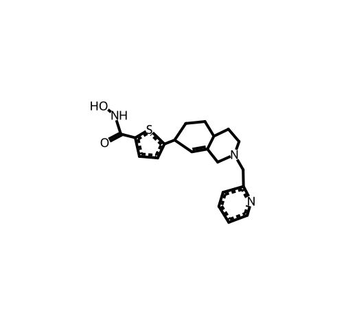 O=C(NO)c1ccc(C2C=C3CN(Cc4ccccn4)CCC3CC2)s1